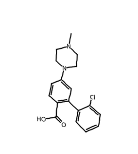 CN1CCN(c2ccc(C(=O)O)c(-c3ccccc3Cl)c2)CC1